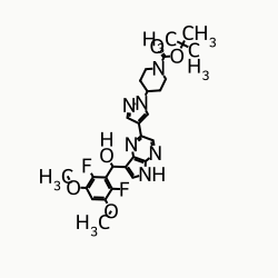 COc1cc(OC)c(F)c(C(O)c2c[nH]c3ncc(-c4cnn(C5CCN(C(=O)OC(C)(C)C)CC5)c4)nc23)c1F